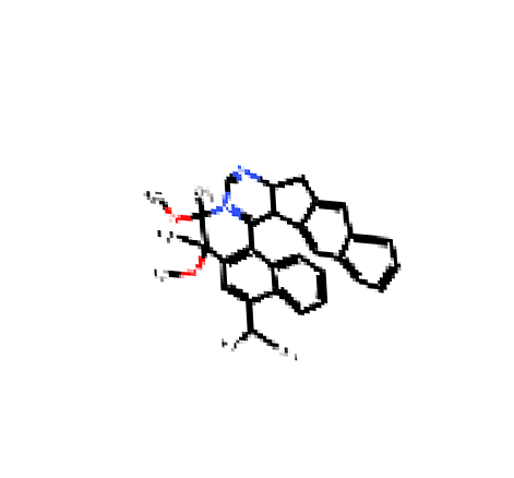 COC1(C)c2cc(C(C)C)c3ccccc3c2C2=[N+](C=NC3Cc4cc5ccccc5cc4C23)C1(C)OC